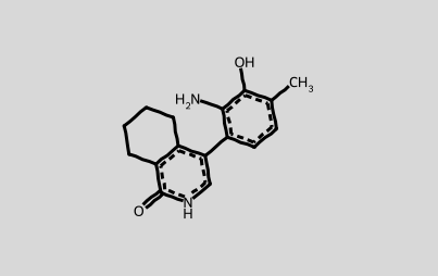 Cc1ccc(-c2c[nH]c(=O)c3c2CCCC3)c(N)c1O